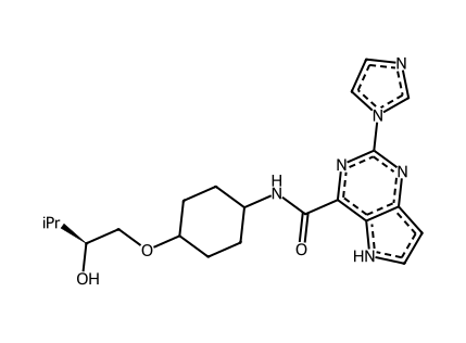 CC(C)[C@H](O)COC1CCC(NC(=O)c2nc(-n3ccnc3)nc3cc[nH]c23)CC1